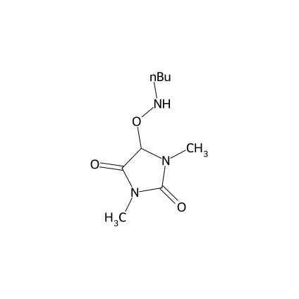 CCCCNOC1C(=O)N(C)C(=O)N1C